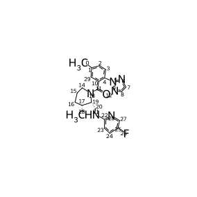 Cc1ccc(-n2nccn2)c(C(=O)N2CCC[C@@H](C)[C@H]2CNc2ccc(F)cn2)c1